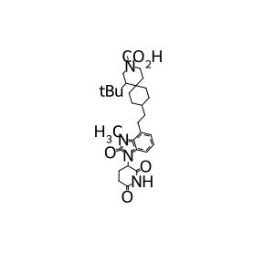 Cn1c(=O)n(C2CCC(=O)NC2=O)c2cccc(CCC3CCC4(CC3)CCN(C(=O)O)CC4C(C)(C)C)c21